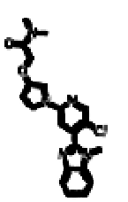 CN(C)C(=O)COC1CCN(c2cc(-c3nc4ccccc4n3C)c(Cl)cn2)C1